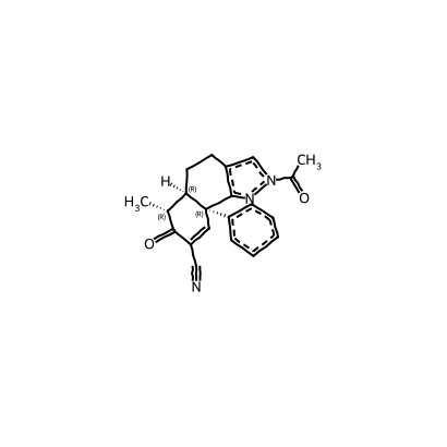 CC(=O)n1cc2c(n1)[C@@]1(c3ccccc3)C=C(C#N)C(=O)[C@H](C)[C@H]1CC2